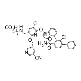 CC(C)(NCc1cc(Cl)c(O[C@H]2CCc3c(-c4c(S(N)(=O)=O)ccc(-c5ccccc5)c4Cl)cccc32)nc1OCc1cncc(C#N)c1)C(=O)O